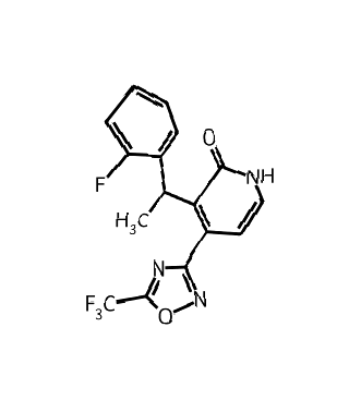 CC(c1ccccc1F)c1c(-c2noc(C(F)(F)F)n2)cc[nH]c1=O